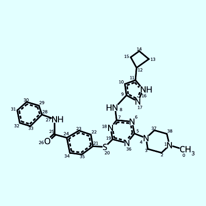 CN1CCN(c2nc(Nc3cc(C4CCC4)[nH]n3)nc(Sc3ccc(C(=O)Nc4ccccc4)cc3)n2)CC1